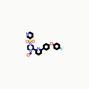 O=CN1CCN(S(=O)(=O)c2cccnc2)CC1c1cccc(-c2ccc(Oc3ccc(F)cc3)cc2)n1